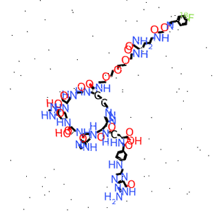 C[C@H](O)[C@H]1NC(=O)[C@@H](Cc2cnc[nH]2)NC(=O)[C@@H](CO)NC(=O)[C@@H](Cc2cnc[nH]2)NC(=O)[C@@H](NC(=O)CC[C@H](NC(=O)c2ccc(NCc3cnc4nc(N)[nH]c(=O)c4n3)cc2)C(=O)O)Cc2cn(nn2)CCCC[C@@H](C(=O)NCCOCCOCCOCC(=O)N[C@@H](CCCCNC(=O)CO/N=C/c2ccc([18F])cc2)C(N)=O)NC(=O)[C@@H](C)NC1=O